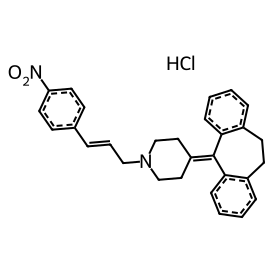 Cl.O=[N+]([O-])c1ccc(C=CCN2CCC(=C3c4ccccc4CCc4ccccc43)CC2)cc1